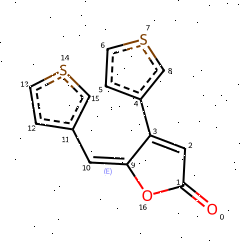 O=C1C=C(c2ccsc2)/C(=C\c2ccsc2)O1